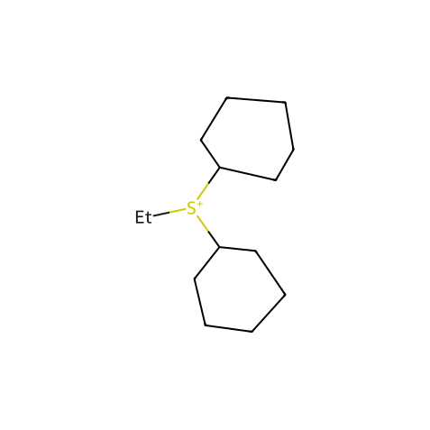 CC[S+](C1CCCCC1)C1CCCCC1